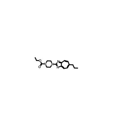 CCCc1ccc2nc(N3CCN(C(=O)OCC)CC3)nc-2cc1